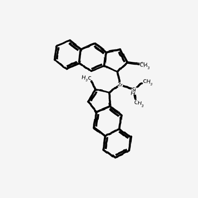 CC1=Cc2cc3ccccc3cc2[CH]1[Zr]([CH]1C(C)=Cc2cc3ccccc3cc21)[SiH](C)C